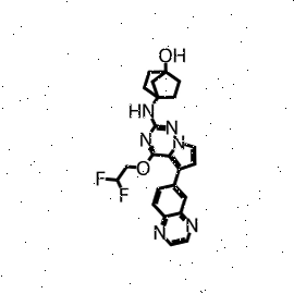 OC12CCC(Nc3nc(OCC(F)F)c4c(-c5ccc6nccnc6c5)ccn4n3)(CC1)C2